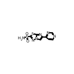 NS(=O)(=O)c1nn2cc(-c3ccncn3)nc2s1